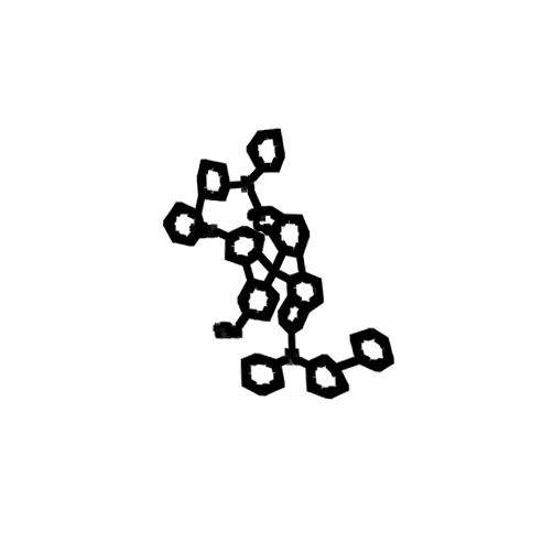 CC(C)(C)c1ccc2c(c1)-c1cc(C(C)(C)C)ccc1C21c2c(ccc3cc(N(c4ccccc4)c4cccc(-c5ccccc5)c4)ccc23)-c2ccc3cc(N(c4ccccc4)c4cccc(-c5ccccc5)c4)ccc3c21